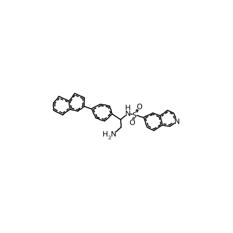 NCC(NS(=O)(=O)c1ccc2cnccc2c1)c1ccc(-c2ccc3ccccc3c2)cc1